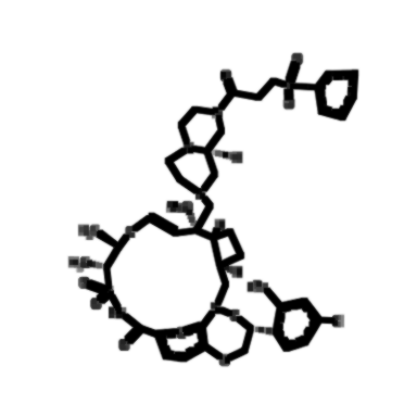 CCCCc1cc(Cl)ccc1[C@@H]1COc2ccc3cc2N(C1)C[C@@H]1CC[C@H]1[C@@](CN1CCN2CCN(C(=O)CCS(=O)(=O)c4ccccc4)C[C@H]2C1)(OC)/C=C/C[C@H](C)[C@@H](C)S(=O)(=O)NC3=O